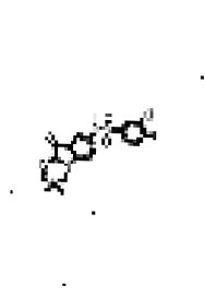 CC1(C)CN=C2C(=O)c3cc(NS(=O)(=O)c4ccc(F)c(Cl)c4)ccc3N2C1